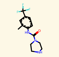 Cc1cc(C(F)(F)F)ccc1NC(=O)N1CCNCC1